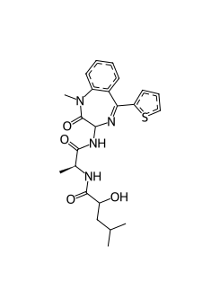 CC(C)CC(O)C(=O)N[C@@H](C)C(=O)NC1N=C(c2cccs2)c2ccccc2N(C)C1=O